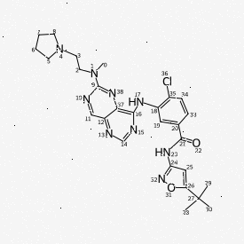 CN(CCN1CCCC1)c1ncc2ncnc(Nc3cc(C(=O)Nc4cc(C(C)(C)C)on4)ccc3Cl)c2n1